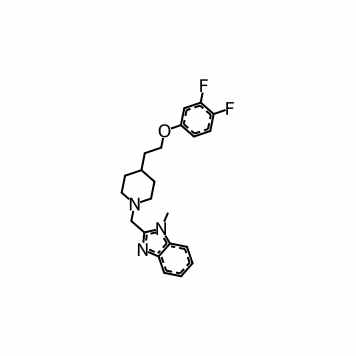 Cn1c(CN2CCC(CCOc3ccc(F)c(F)c3)CC2)nc2ccccc21